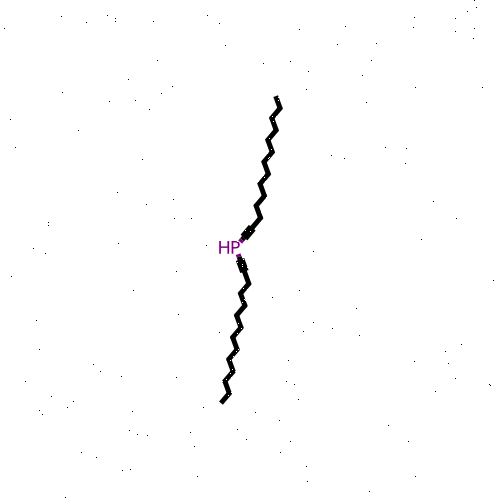 CCCCCCCCCCCCC#CPC#CCCCCCCCCCCCC